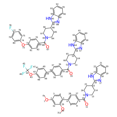 COc1ccc(-c2ccc(C(=O)N3CCC(c4nc5ccccc5[nH]4)CC3)cc2)c(OC)c1.O=C(c1ccc(-c2ccc(OC(F)(F)F)cc2)cc1)N1CCC(c2nc3ccccc3[nH]2)CC1.O=C(c1ccc(Oc2ccc(F)cc2)cc1)N1CCC(c2nc3ccccc3[nH]2)CC1